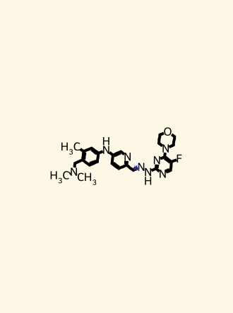 Cc1cc(Nc2ccc(/C=N/Nc3ncc(F)c(N4CCOCC4)n3)nc2)ccc1CN(C)C